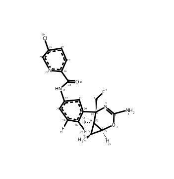 C[C@@H]1[C@@H]2OC(N)=N[C@@](CF)(c3cc(NC(=O)c4ccc(Cl)cn4)cc(F)c3F)[C@H]12